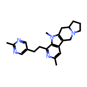 Cc1cc2c3c(n(C)c2c(CCc2cnc(C)nc2)n1)CC1CCCN1C3